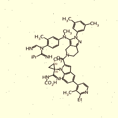 CCc1nccc(-c2ccc3c(c2)cc(C(=O)N2CCc4nn(-c5cc(C)cc(C)c5)c(N(C)c5ccc(N(C=N)C(=N)C(C)C)c(C)c5)c4C2)n3[C@@]2(C(=N)NC(=O)O)C[C@@H]2C)c1C